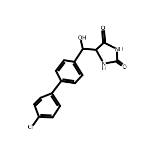 O=C1NC(=O)C(C(O)c2ccc(-c3ccc(Cl)cc3)cc2)N1